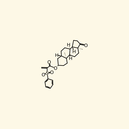 C=C(C(=O)O[C@H]1CC[C@@]2(C)[C@@H](CC[C@@H]3[C@@H]2CC[C@]2(C)C(=O)CC[C@@H]32)C1)S(=O)(=O)c1ccccc1